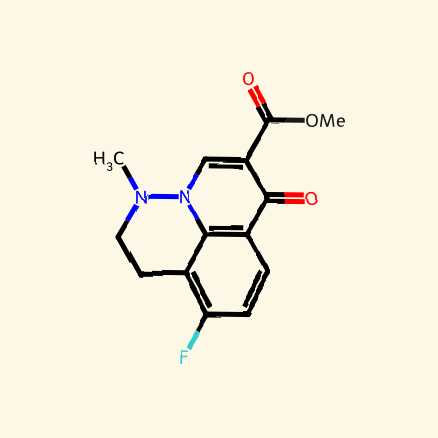 COC(=O)c1cn2c3c(c(F)ccc3c1=O)CCN2C